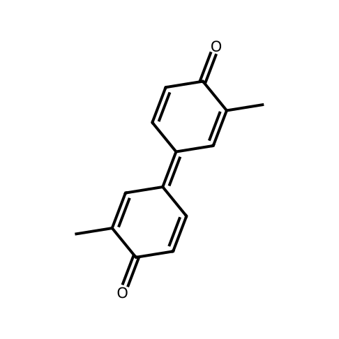 CC1=C/C(=C2\C=CC(=O)C(C)=C2)C=CC1=O